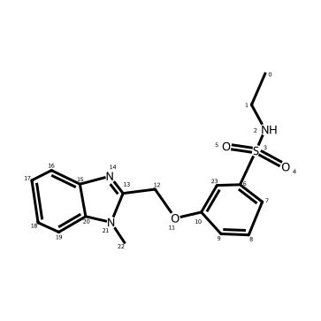 CCNS(=O)(=O)c1cccc(OCc2nc3ccccc3n2C)c1